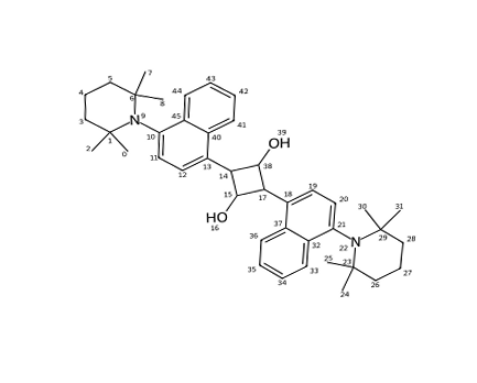 CC1(C)CCCC(C)(C)N1c1ccc(C2C(O)C(c3ccc(N4C(C)(C)CCCC4(C)C)c4ccccc34)C2O)c2ccccc12